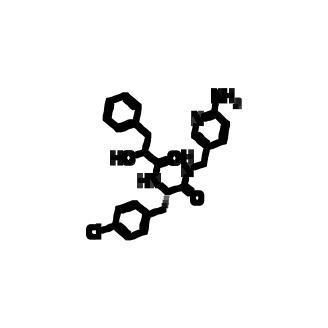 Nc1ccc(CNC(=O)[C@H](Cc2ccc(Cl)cc2)NC(=O)C(O)Cc2ccccc2)cn1